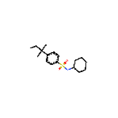 CCC(C)(C)c1ccc(S(=O)(=O)NC2CCCCC2)cc1